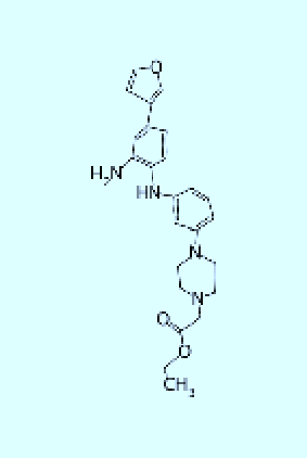 CCOC(=O)CN1CCN(c2cccc(Nc3ccc(-c4ccoc4)cc3N)c2)CC1